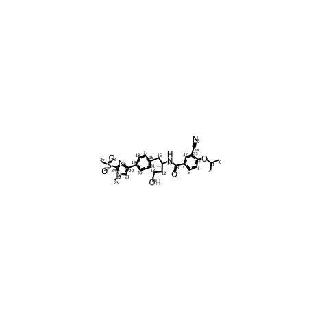 CC(C)Oc1ccc(C(=O)NC(CCO)Cc2ccc(-c3cn(C)c(S(C)(=O)=O)n3)cc2)cc1C#N